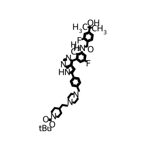 Cc1c(NC(=O)c2ccc(C(C)(C)O)cc2F)cc(F)cc1-c1ncnc2[nH]c(-c3ccc(CN4CCN(CCC5CCN(C(=O)OC(C)(C)C)CC5)CC4)cc3)cc12